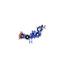 CC(=O)N1CCCN(c2cc(-n3nc(Nc4ccc(N5C[C@@H](C)O[C@@H](C)C5)cc4)nc3N)ncn2)CC1